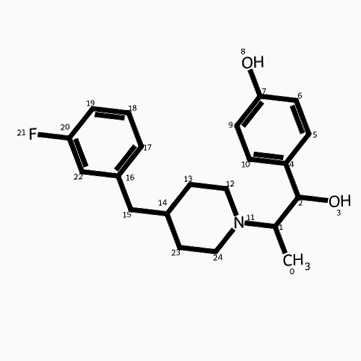 CC(C(O)c1ccc(O)cc1)N1CCC(Cc2cccc(F)c2)CC1